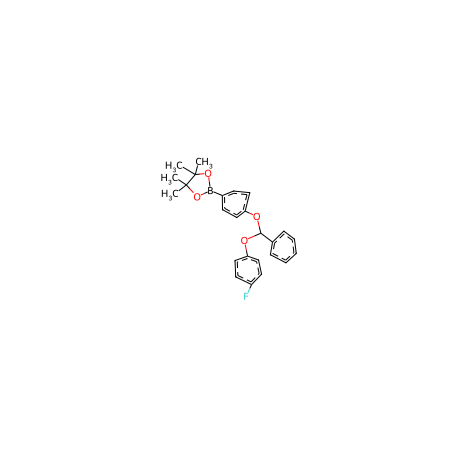 CC1(C)OB(c2ccc(OC(Oc3ccc(F)cc3)c3ccccc3)cc2)OC1(C)C